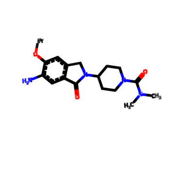 CC(C)Oc1cc2c(cc1N)C(=O)N(C1CCN(C(=O)N(C)C)CC1)C2